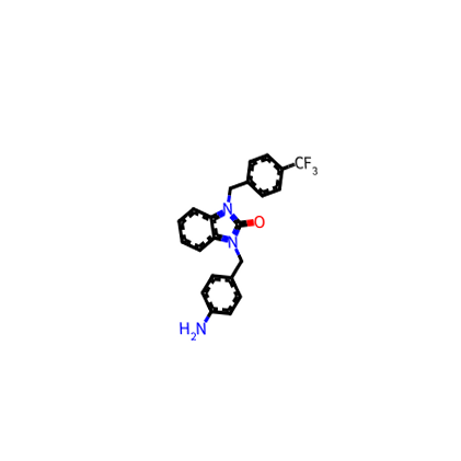 Nc1ccc(Cn2c(=O)n(Cc3ccc(C(F)(F)F)cc3)c3ccccc32)cc1